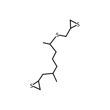 CC(CCCC(C)SCC1CS1)CC1CS1